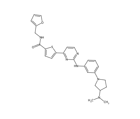 CN(C)C1CCN(c2cccc(Nc3nccc(-c4ccc(C(=O)NCc5ccco5)s4)n3)c2)C1